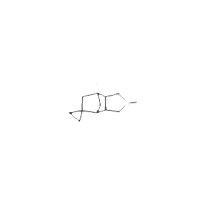 CC(=O)[C@@H]1[C@@H]2[C@H](CN1C)[C@H]1C[C@@H]2C2(CC2)C1